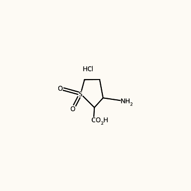 Cl.NC1CCS(=O)(=O)C1C(=O)O